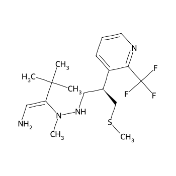 CSC[C@@H](CNN(C)/C(=C\N)C(C)(C)C)c1cccnc1C(F)(F)F